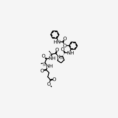 COC(=O)CCC(=O)N[C@@H](C)C(=O)N[C@@H](C)C(=O)N1CCC[C@H]1C(=O)Nc1ccccc1OC(=O)Nc1ccccc1